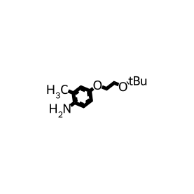 Cc1cc(OCCOC(C)(C)C)ccc1N